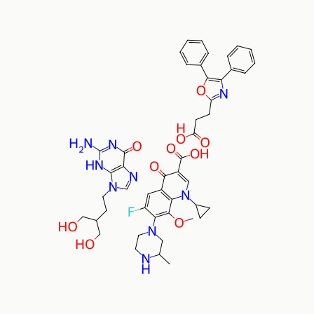 COc1c(N2CCNC(C)C2)c(F)cc2c(=O)c(C(=O)O)cn(C3CC3)c12.Nc1nc(=O)c2ncn(CCC(CO)CO)c2[nH]1.O=C(O)CCc1nc(-c2ccccc2)c(-c2ccccc2)o1